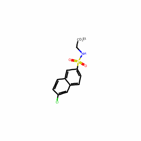 CCOC(=O)CNS(=O)(=O)c1ccc2cc(Cl)ccc2c1